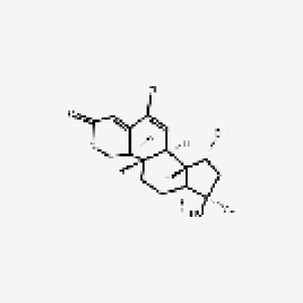 CC(=O)[C@@]1(O)C[C@@H](O)[C@H]2[C@@H]3C=C(Cl)C4=CC(=O)OC[C@]4(C)[C@H]3CC[C@@]21C